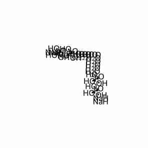 O.O.O.O.O.O.O.O.O.O.O.O.O=P(O)(O)O.O=P(O)(O)O.O=P(O)(O)O.O=P(O)(O)O.[NaH].[NaH].[NaH].[NaH]